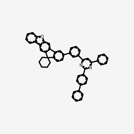 c1ccc(-c2ccc(-c3nc(-c4ccccc4)cc(-c4cccc(-c5ccc6c(c5)-c5cc7oc8ccccc8c7cc5C65CCCCC5)c4)n3)cc2)cc1